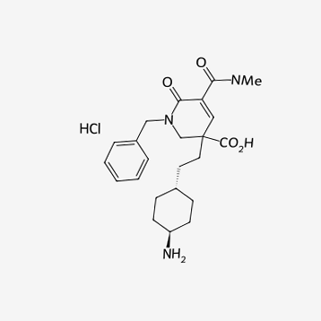 CNC(=O)C1=CC(CC[C@H]2CC[C@H](N)CC2)(C(=O)O)CN(Cc2ccccc2)C1=O.Cl